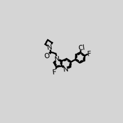 O=C(Cn1cc(F)c2ncc(-c3ccc(F)c(Cl)c3)cc21)N1CCC1